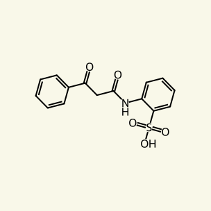 O=C(CC(=O)c1ccccc1)Nc1ccccc1S(=O)(=O)O